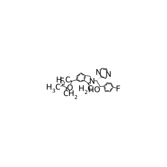 C=C(OC(=C)C(C)F)c1ccc2c(c1)C(=C)N([C@H](c1cnccn1)[C@@H](O)c1ccc(F)cc1)C2